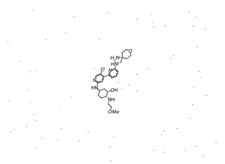 COCCN[C@@H]1CC[C@@H](Nc2cc(-c3cccc(NCC4(N)CCOCC4)n3)c(Cl)cn2)C[C@H]1O